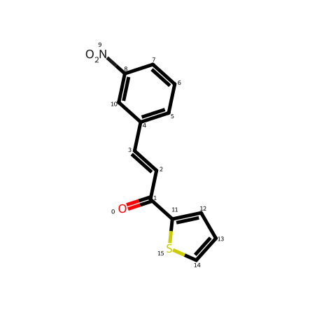 O=C(/C=C/c1cccc([N+](=O)[O-])c1)c1cccs1